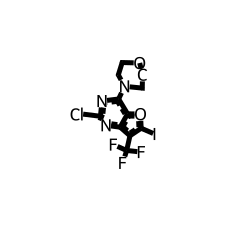 FC(F)(F)c1c(I)oc2c(N3CCOCC3)nc(Cl)nc12